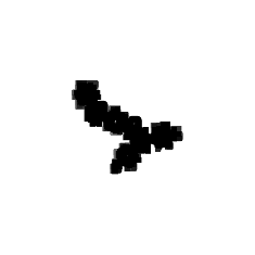 O=C(Cn1nc(-c2ccc(F)cc2)nc1-c1ccc(F)cc1)N1CCC(c2nnc(-c3ccccc3)o2)CC1